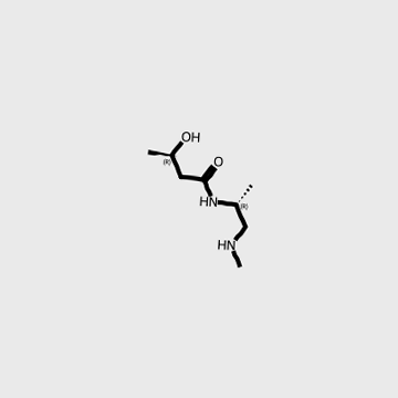 CNC[C@@H](C)NC(=O)C[C@@H](C)O